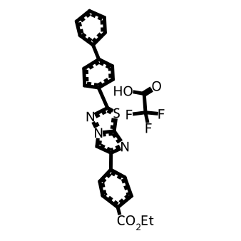 CCOC(=O)c1ccc(-c2cn3nc(-c4ccc(-c5ccccc5)cc4)sc3n2)cc1.O=C(O)C(F)(F)F